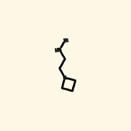 CCNCCN1CCC1